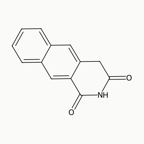 O=C1Cc2cc3ccccc3cc2C(=O)N1